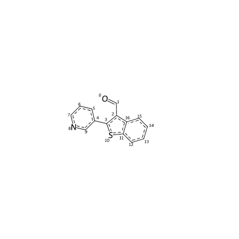 O=Cc1c(-c2cccnc2)sc2ccccc12